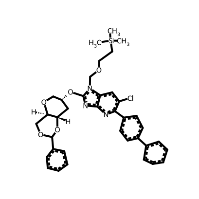 C[Si](C)(C)CCOCn1c(O[C@H]2CO[C@@H]3COC(c4ccccc4)O[C@H]3C2)nc2nc(-c3ccc(-c4ccccc4)cc3)c(Cl)cc21